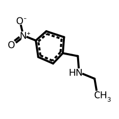 CCNCc1ccc([N+](=O)[O-])cc1